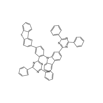 c1ccc(-c2nc(-c3ccccc3)nc(-c3ccc4c5ccccc5n(-c5ccc(-c6ccc7sc8ccccc8c7c6)cc5-c5nc(-c6ccccc6)nc(-c6ccccc6)n5)c4c3)n2)cc1